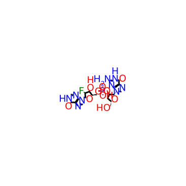 Nc1nc2c(ncn2[C@@H]2O[C@H](CO)C[C@H]2OP(=O)(O)OC[C@H]2O[C@@H](n3cnc4c(=O)[nH]cnc43)[C@@H](F)[C@@H]2O)c(=O)[nH]1